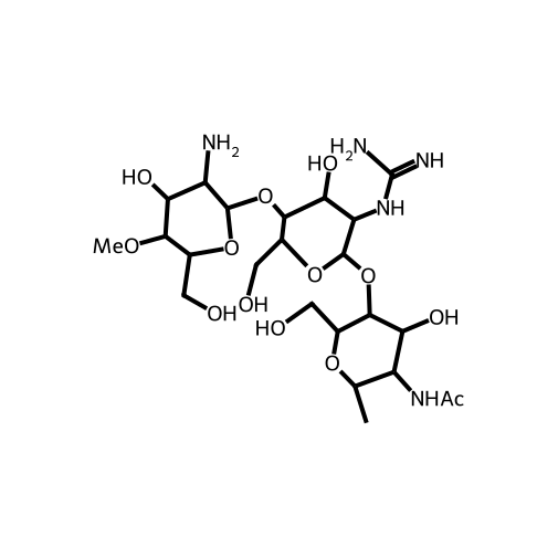 COC1C(CO)OC(OC2C(CO)OC(OC3C(CO)OC(C)C(NC(C)=O)C3O)C(NC(=N)N)C2O)C(N)C1O